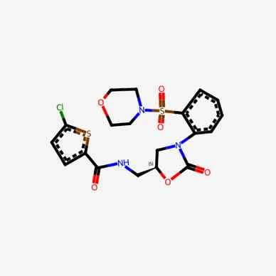 O=C(NC[C@H]1CN(c2ccccc2S(=O)(=O)N2CCOCC2)C(=O)O1)c1ccc(Cl)s1